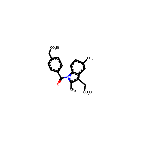 CCOC(=O)Cc1ccc(C(=O)n2c(C)c(CC(=O)OCC)c3cc(C)ccc32)cc1